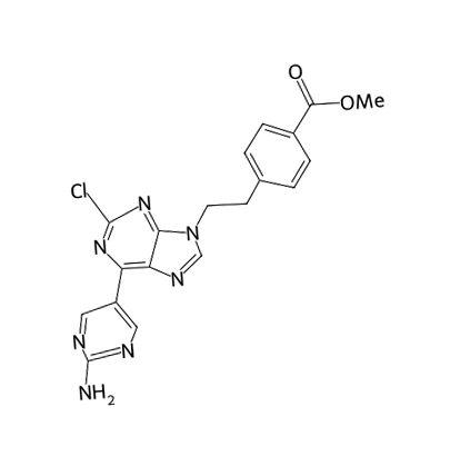 COC(=O)c1ccc(CCn2cnc3c(-c4cnc(N)nc4)nc(Cl)nc32)cc1